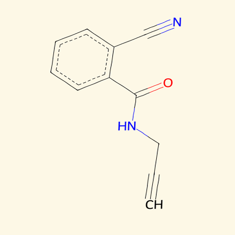 C#CCNC(=O)c1ccccc1C#N